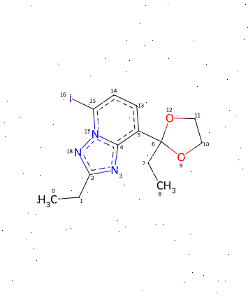 CCc1nc2c(C3(CC)OCCO3)ccc(I)n2n1